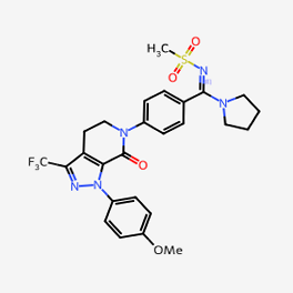 COc1ccc(-n2nc(C(F)(F)F)c3c2C(=O)N(c2ccc(/C(=N\S(C)(=O)=O)N4CCCC4)cc2)CC3)cc1